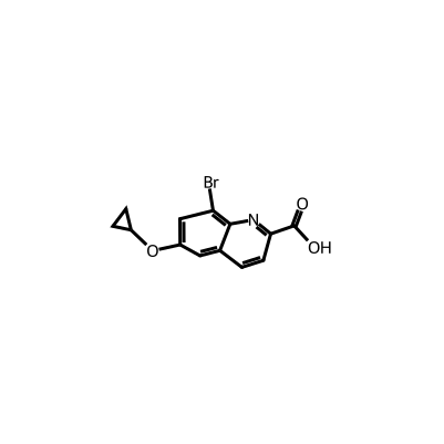 O=C(O)c1ccc2cc(OC3CC3)cc(Br)c2n1